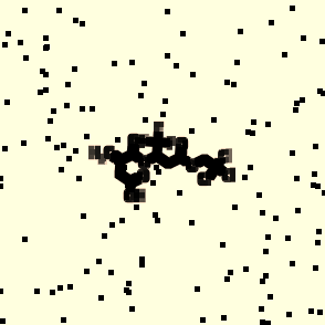 C=C(CC(=O)O)C(=O)OC(CC(=O)OCC(Cl)(Cl)Cl)C(F)(F)F